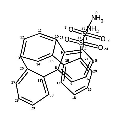 NS(=O)(=O)c1[c]ccc2c1-c1ccc(cc1-c1ccccc1S(N)(=O)=O)-c1ccccc1-2